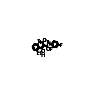 CCc1cccc2c1c(O)c(C(=O)N(C)c1ccc(F)cc1F)c(=O)n2C